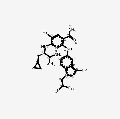 C[C@H](N)[C@@H](CC1CC1)Nc1nc(Nc2ccc3c(c2)c(F)nn3CC(F)F)c(C(N)=O)cc1F